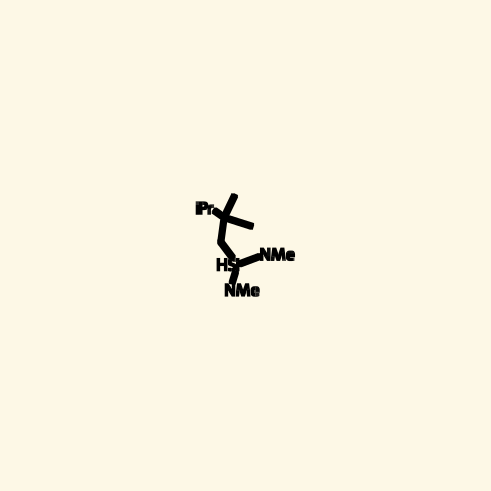 CN[SiH](CC(C)(C)C(C)C)NC